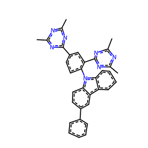 Cc1nc(C)nc(-c2ccc(-n3c4ccccc4c4cc(-c5ccccc5)ccc43)c(-c3nc(C)nc(C)n3)c2)n1